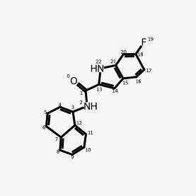 O=C(Nc1cccc2ccccc12)c1cc2ccc(F)cc2[nH]1